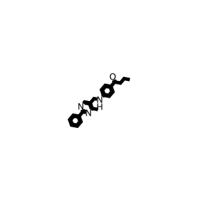 CCCC(=O)c1ccc(NCc2cnc(-c3ccccc3)nc2C)cc1